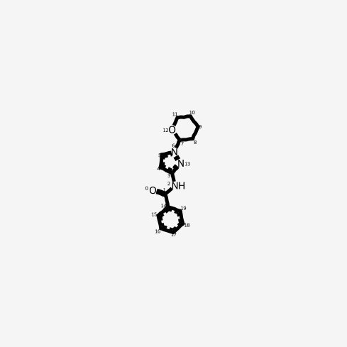 O=C(Nc1ccn(C2CCCCO2)n1)c1ccccc1